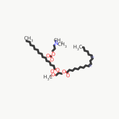 CCCCC/C=C\C/C=C\CCCCCCCC(=O)OCC(COC)OC(=O)CCC(CCCCCCCCCCCC)OC(=O)OCCCN(C)C